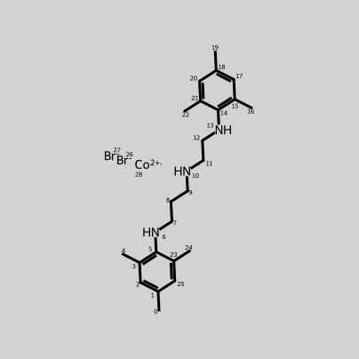 Cc1cc(C)c(NCCCNCCNc2c(C)cc(C)cc2C)c(C)c1.[Br-].[Br-].[Co+2]